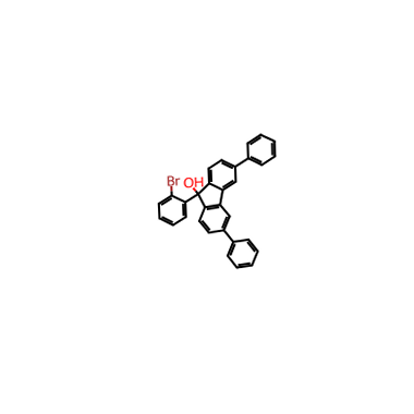 OC1(c2ccccc2Br)c2ccc(-c3ccccc3)cc2-c2cc(-c3ccccc3)ccc21